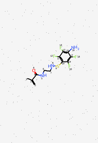 C=C(C)C(=O)NCCNSc1c(F)c(F)c(N)c(F)c1F